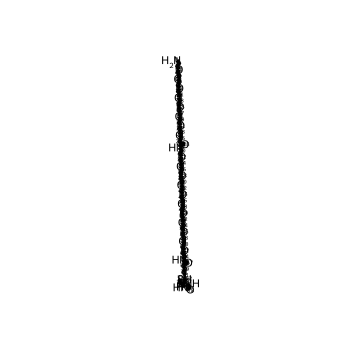 NCCOCCOCCOCCOCCOCCOCCOCCOCCC(=O)NCCOCCOCCOCCOCCOCCOCCOCCOCCOCCOCCOCCNC(=O)CCCC[C@@H]1SC[C@@H]2NC(=O)N[C@@H]21